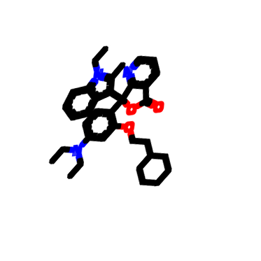 CCN(CC)c1ccc(C2(c3c(C)n(CC)c4ccccc34)OC(=O)c3cccnc32)c(OCCC2CCCCC2)c1